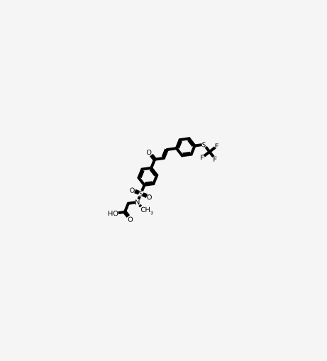 CN(CC(=O)O)S(=O)(=O)c1ccc(C(=O)/C=C/c2ccc(SC(F)(F)F)cc2)cc1